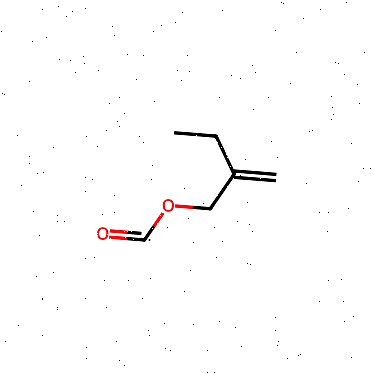 C=C(CC)CO[C]=O